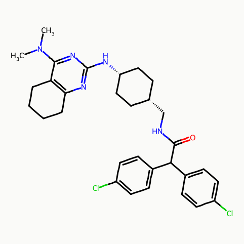 CN(C)c1nc(N[C@H]2CC[C@@H](CNC(=O)C(c3ccc(Cl)cc3)c3ccc(Cl)cc3)CC2)nc2c1CCCC2